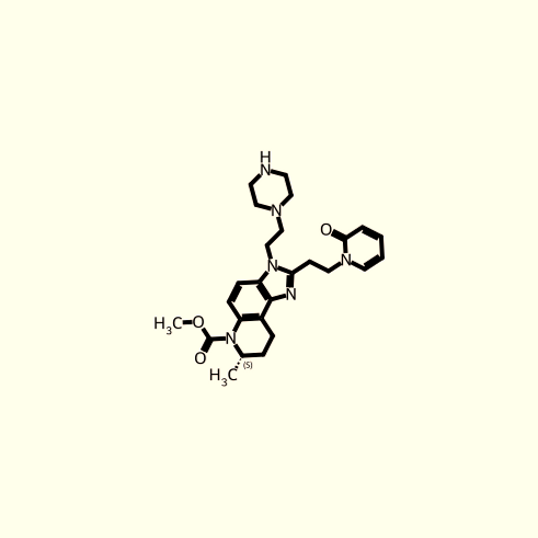 COC(=O)N1c2ccc3c(nc(CCn4ccccc4=O)n3CCN3CCNCC3)c2CC[C@@H]1C